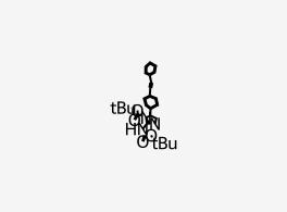 CC(C)(C)OC(=O)NC1=NCC(c2ccc(C#Cc3ccccc3)cc2)N1C(=O)OC(C)(C)C